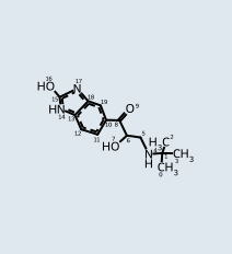 CC(C)(C)NCC(O)C(=O)c1ccc2[nH]c(O)nc2c1